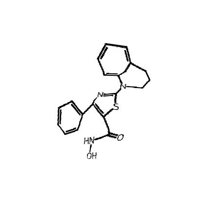 O=C(NO)c1sc(N2CCCc3ccccc32)nc1-c1ccccc1